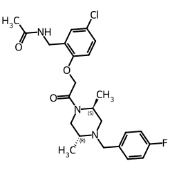 CC(=O)NCc1cc(Cl)ccc1OCC(=O)N1C[C@@H](C)N(Cc2ccc(F)cc2)C[C@@H]1C